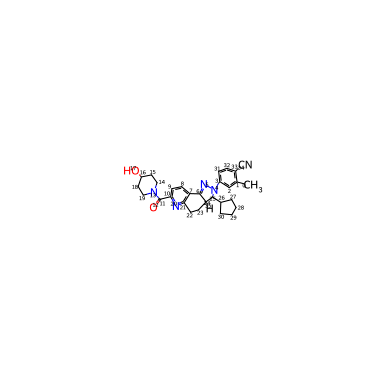 Cc1cc(N2N=C3c4ccc(C(=O)N5CCC(O)CC5)nc4CC[C@@H]3C2C2CCCC2)ccc1C#N